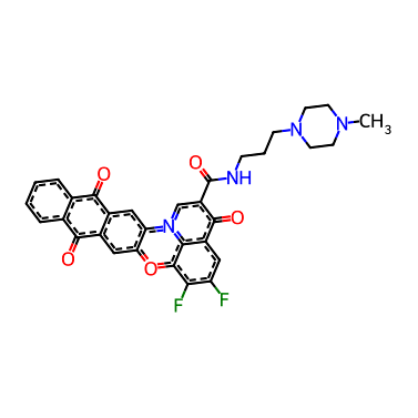 CN1CCN(CCCNC(=O)c2cn3c4cc5c(=O)c6ccccc6c(=O)c5cc4oc4c(F)c(F)cc(c2=O)c43)CC1